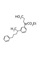 CCOC(=O)N(CCC(=O)O)c1cccc(C(C)CCCc2ccccc2)c1